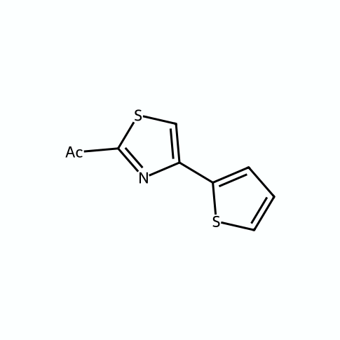 CC(=O)c1nc(-c2cccs2)cs1